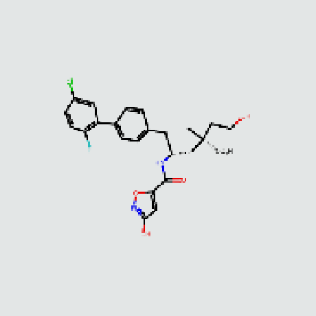 C[C@@](CCO)(C[C@@H](Cc1ccc(-c2cc(Cl)ccc2F)cc1)NC(=O)c1cc(O)no1)C(=O)O